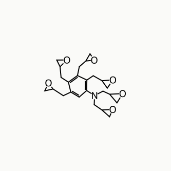 c1c(CC2CO2)c(CC2CO2)c(CC2CO2)c(CC2CO2)c1N(CC1CO1)CC1CO1